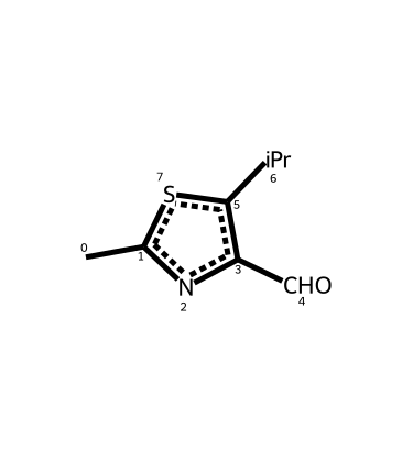 Cc1nc(C=O)c(C(C)C)s1